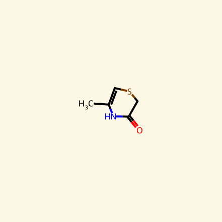 CC1=CSCC(=O)N1